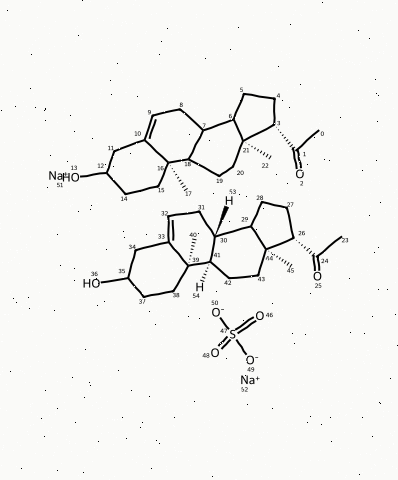 CC(=O)[C@H]1CCC2C3CC=C4CC(O)CC[C@]4(C)C3CC[C@@]21C.CC(=O)[C@H]1CCC2[C@H]3CC=C4CC(O)CC[C@]4(C)[C@@H]3CC[C@@]21C.O=S(=O)([O-])[O-].[Na+].[Na+]